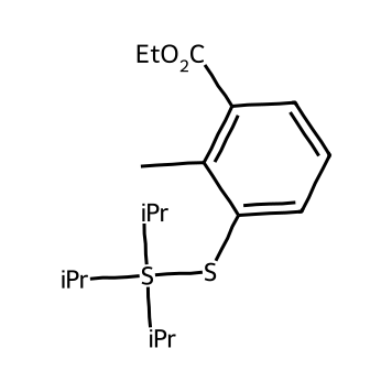 CCOC(=O)c1cccc(SS(C(C)C)(C(C)C)C(C)C)c1C